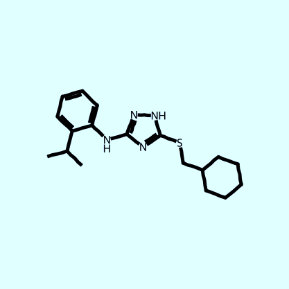 CC(C)c1ccccc1Nc1n[nH]c(SCC2CCCCC2)n1